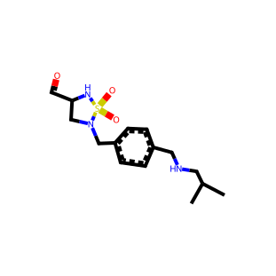 CC(C)CNCc1ccc(CN2CC(C=O)NS2(=O)=O)cc1